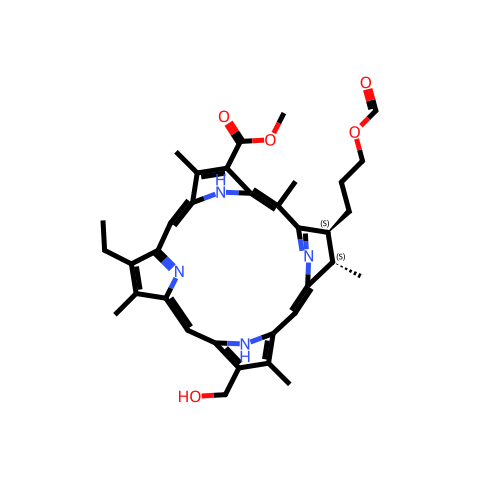 CCC1=C(C)c2cc3[nH]c(cc4nc(c(C)c5[nH]c(cc1n2)c(C)c5C(=O)OC)[C@@H](CCCOC=O)[C@@H]4C)c(C)c3CO